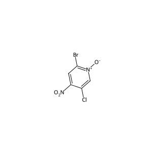 O=[N+]([O-])c1cc(Br)[n+]([O-])cc1Cl